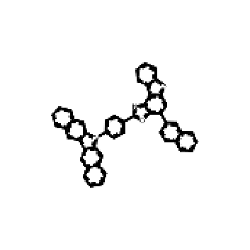 c1ccc2cc(-c3cc4sc5ccccc5c4c4nc(-c5ccc(-n6c7cc8ccccc8cc7c7cc8ccccc8cc76)cc5)oc34)ccc2c1